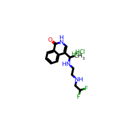 CC(NCCNCC(F)F)c1c[nH]c(=O)c2ccccc12.Cl.Cl